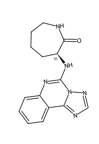 O=C1NCCCC[C@@H]1Nc1nc2ccccc2c2ncnn12